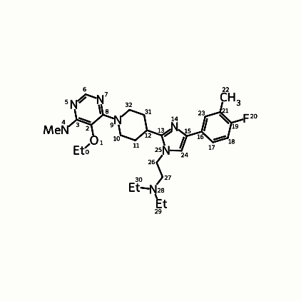 CCOc1c(NC)ncnc1N1CCC(c2nc(-c3ccc(F)c(C)c3)cn2CCN(CC)CC)CC1